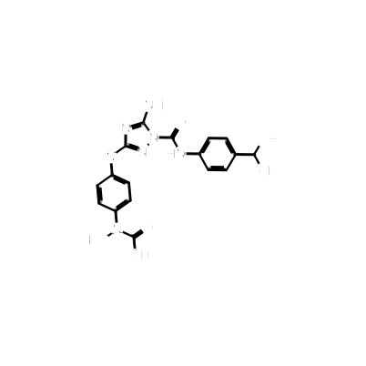 CC(=O)N(C)c1ccc(Nc2nc(N)n(C(=O)Nc3ccc(C(C)C)cc3)n2)cc1